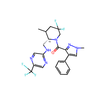 CC1CC(F)(F)CN(C(=O)c2nn(C)cc2-c2ccccc2)[C@@H]1CNc1cnc(C(F)(F)F)cn1